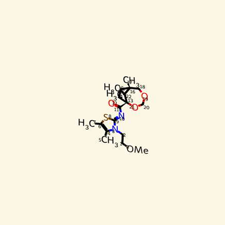 COCCn1c(C)c(C)s/c1=N\C(=O)[C@]12CC[C@](C)(COCO1)C2(C)C